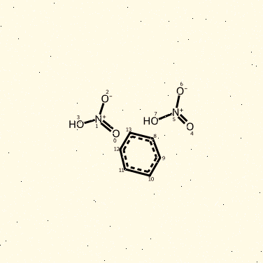 O=[N+]([O-])O.O=[N+]([O-])O.c1ccccc1